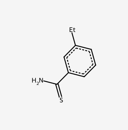 CCc1cccc(C(N)=S)c1